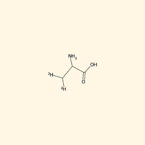 [2H]C([2H])C(N)C(=O)O